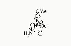 COc1ccc2c(c1)cc(-c1ccc3nc(N)nc(Cc4ccccc4)c3n1)n2C(=O)OC(C)(C)C